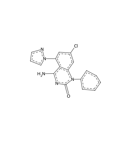 Nc1nc(=O)n(-c2ccccc2)c2cc(Cl)cc(-n3cccn3)c12